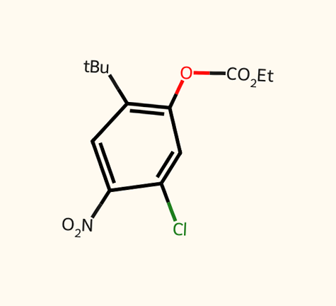 CCOC(=O)Oc1cc(Cl)c([N+](=O)[O-])cc1C(C)(C)C